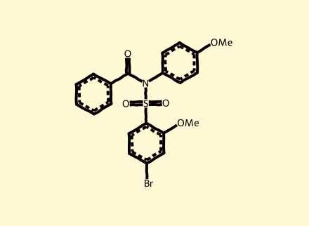 COc1ccc(N(C(=O)c2ccccc2)S(=O)(=O)c2ccc(Br)cc2OC)cc1